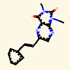 Cn1c(=O)c2nc(C=Cc3ccccc3)cnc2n(C)c1=O